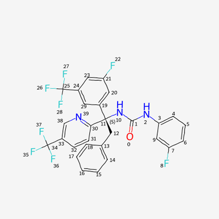 O=C(Nc1cccc(F)c1)N[C@@](Cc1ccccc1)(c1cc(F)cc(C(F)(F)F)c1)c1ccc(C(F)(F)F)cn1